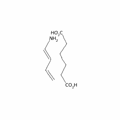 C=CC=CN.O=C(O)CCCCC(=O)O